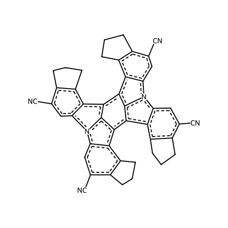 N#Cc1cc2c(c3c1CCC3)c1c3c4c5c(c(C#N)cc4n4c6cc(C#N)c7c(c6c(c6c8c9c(c(C#N)cc8n2c16)CCC9)c34)CCC7)CCC5